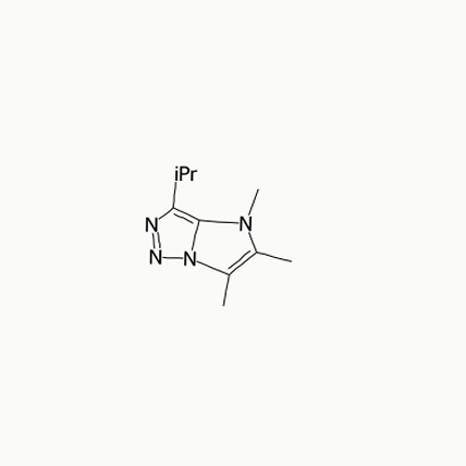 Cc1c(C)n2nnc(C(C)C)c2n1C